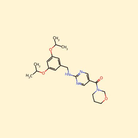 CC(C)Oc1cc(CNc2ncc(C(=O)N3CCCOC3)cn2)cc(OC(C)C)c1